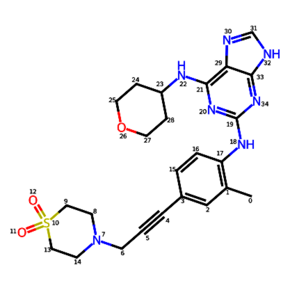 Cc1cc(C#CCN2CCS(=O)(=O)CC2)ccc1Nc1nc(NC2CCOCC2)c2nc[nH]c2n1